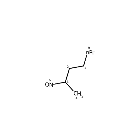 CCCCCC(C)N=O